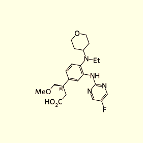 CCN(c1ccc([C@H](COC)CC(=O)O)cc1Nc1ncc(F)cn1)C1CCOCC1